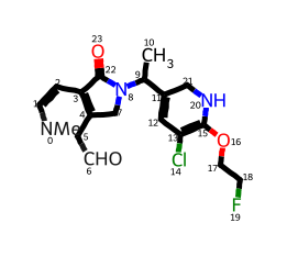 CN/C=C\C1=C(CC=O)CN(C(C)C2=CC(Cl)=C(OCCF)NC2)C1=O